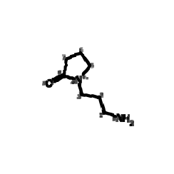 NCCC[N+]1CCCC1=O